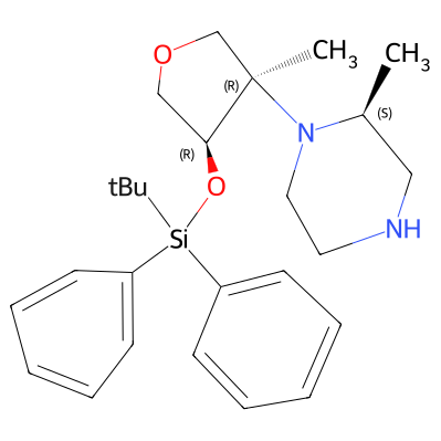 C[C@H]1CNCCN1[C@]1(C)COC[C@@H]1O[Si](c1ccccc1)(c1ccccc1)C(C)(C)C